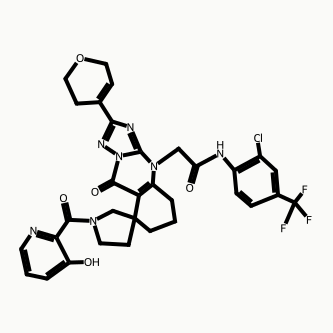 O=C(Cn1c2c(c(=O)n3nc(C4=CCOCC4)nc13)C1(CCC2)CCN(C(=O)c2ncccc2O)C1)Nc1ccc(C(F)(F)F)cc1Cl